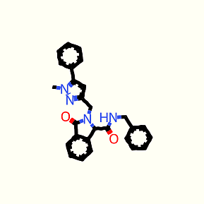 Cn1nc(CN2C(=O)c3ccccc3C2C(=O)NCc2ccccc2)cc1-c1ccccc1